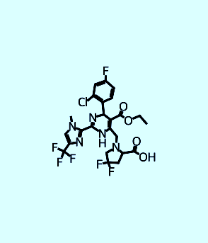 CCOC(=O)C1=C(CN2CC(F)(F)CC2C(=O)O)NC(c2nc(C(F)(F)F)cn2C)=NC1c1ccc(F)cc1Cl